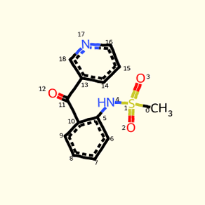 CS(=O)(=O)Nc1ccccc1C(=O)c1cccnc1